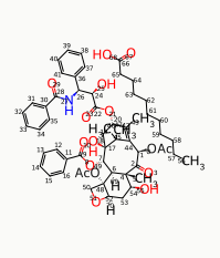 CC(=O)O[C@H]1C(=O)[C@@]2(C)[C@H]([C@H](OC(=O)c3ccccc3)[C@]3(O)C[C@H](OC(=O)[C@H](O)[C@@H](NC(=O)c4ccccc4)c4ccccc4)C(C)=C1C3(C)C)[C@]1(OC(C)=O)CO[C@@H]1C[C@@H]2O.CCCCCCCCCCC(=O)O